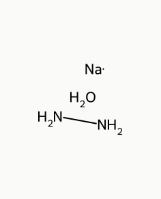 NN.O.[Na]